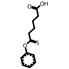 O=C(O)CCCCC(=S)Oc1ccccc1